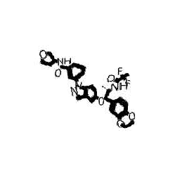 C[C@H](NC(=O)C(C)(F)F)[C@H](Oc1ccc2c(cnn2-c2cccc(C(=O)NC3CCOC3)c2)c1)c1ccc2c(c1)OCCO2